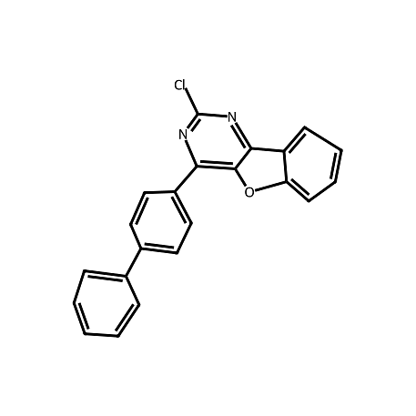 Clc1nc(-c2ccc(-c3ccccc3)cc2)c2oc3ccccc3c2n1